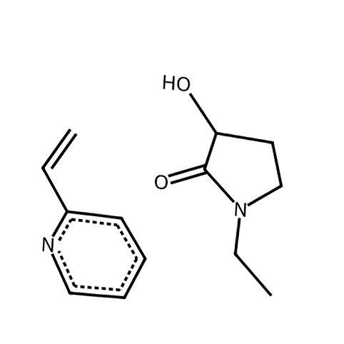 C=Cc1ccccn1.CCN1CCC(O)C1=O